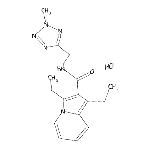 CCc1c(C(=O)NCc2nnn(C)n2)c(CC)n2ccccc12.Cl